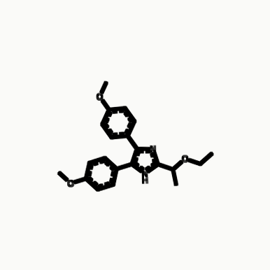 CCOC(C)c1nc(-c2ccc(OC)cc2)c(-c2ccc(OC)cc2)[nH]1